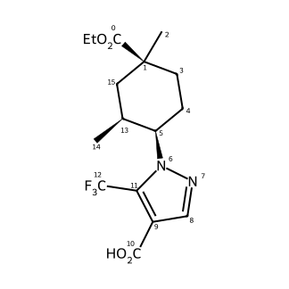 CCOC(=O)[C@@]1(C)CC[C@@H](n2ncc(C(=O)O)c2C(F)(F)F)[C@@H](C)C1